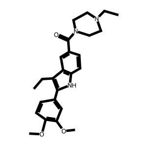 CCc1c(-c2ccc(OC)c(OC)c2)[nH]c2ccc(C(=O)N3CCN(CC)CC3)cc12